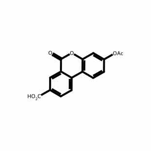 CC(=O)Oc1ccc2c(c1)oc(=O)c1cc(C(=O)O)ccc12